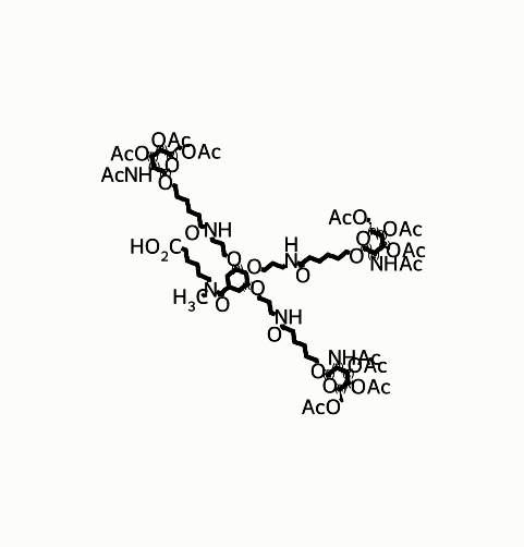 CC(=O)N[C@H]1[C@H](OCCCCCC(=O)NCCCOC2[C@H](OCCCNC(=O)CCCCCO[C@@H]3O[C@H](COC(C)=O)[C@H](OC(C)=O)[C@H](OC(C)=O)[C@H]3NC(C)=O)CC(C(=O)N(C)CCCCCC(=O)O)C[C@H]2OCCCNC(=O)CCCCCO[C@@H]2O[C@H](COC(C)=O)[C@H](OC(C)=O)[C@H](OC(C)=O)[C@H]2NC(C)=O)O[C@H](COC(C)=O)[C@H](OC(C)=O)[C@@H]1OC(C)=O